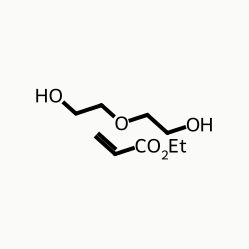 C=CC(=O)OCC.OCCOCCO